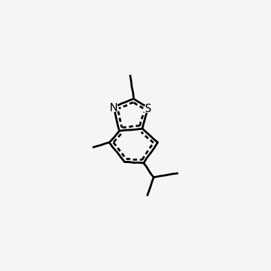 Cc1nc2c(C)cc(C(C)C)cc2s1